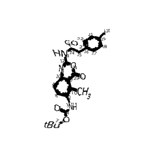 Cc1c(NC(=O)OC(C)(C)C)ccc2nc(N[C@@H](Cc3ccc(I)cc3)C(=O)O)oc(=O)c12